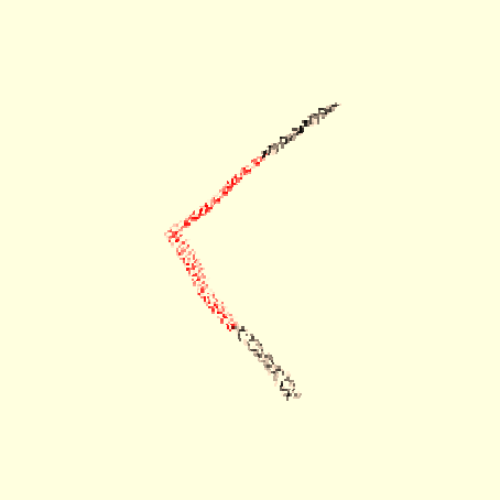 [O-2].[O-2].[O-2].[O-2].[O-2].[O-2].[O-2].[O-2].[O-2].[O-2].[O-2].[O-2].[O-2].[O-2].[O-2].[O-2].[O-2].[O-2].[O-2].[O-2].[O-2].[O-2].[O-2].[O-2].[O-2].[O-2].[O-2].[O-2].[O-2].[O-2].[O-2].[O-2].[O-2].[O-2].[O-2].[Ti+4].[Ti+4].[Ti+4].[Ti+4].[Ti+4].[Ti+4].[Ti+4].[Ti+4].[Ti+4].[Ti+4].[Ti+4].[Ti+4].[Ti+4].[Ti+4].[Ti+4].[Ti+4].[Ti+4].[Ti+4].[Ti+4].[Ti+4].[Ti+4].[Ti+4].[Ti+4].[Ti+4].[Ti+4]